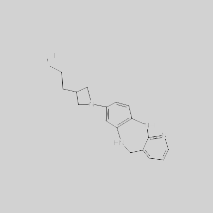 COCCC1CN(c2ccc3c(c2)NCc2cccnc2N3)C1